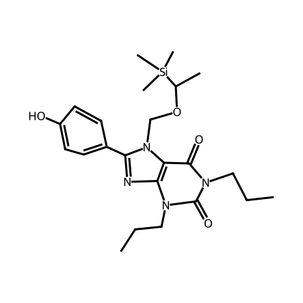 CCCn1c(=O)c2c(nc(-c3ccc(O)cc3)n2COC(C)[Si](C)(C)C)n(CCC)c1=O